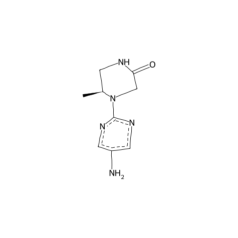 C[C@H]1CNC(=O)CN1c1ncc(N)cn1